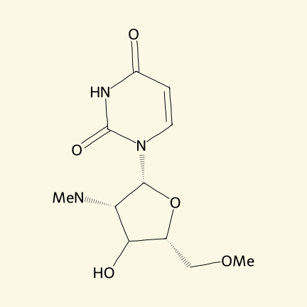 CN[C@H]1C(O)[C@@H](COC)O[C@H]1n1ccc(=O)[nH]c1=O